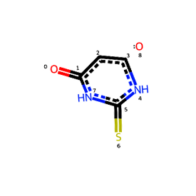 O=c1cc[nH]c(=S)[nH]1.[O]